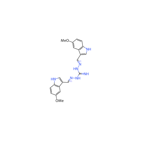 COc1ccc2[nH]cc(/C=N/NC(=N)N/N=C/c3c[nH]c4ccc(OC)cc34)c2c1